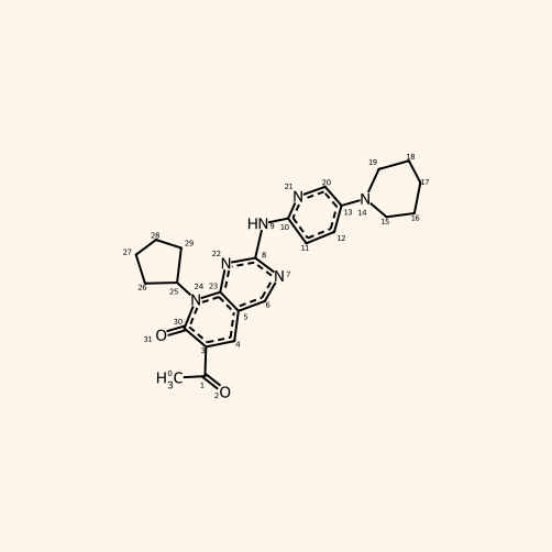 CC(=O)c1cc2cnc(Nc3ccc(N4CCCCC4)cn3)nc2n(C2CCCC2)c1=O